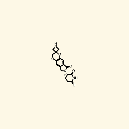 O=C1CC[C@H](N2Cc3cc4c(cc3C2=O)OC2(CNC2)CO4)C(=O)N1